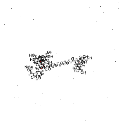 CNCC(=O)N(C)CC(=O)N(C)CC(=O)N(C)C(CCCN(C[C@H](O)[C@@H](O)[C@H](O)[C@H](O)CO)C[C@H](O)[C@@H](O)[C@H](O)[C@H](O)CO)C(=O)N(C)CC(=O)N(C)CC(=O)N(C)CC(=O)NCCOCCOCCOCCC(=O)N(C[C@H](O)[C@@H](O)[C@H](O)[C@H](O)CO)C[C@H](O)[C@@H](O)[C@H](O)[C@H](O)CO